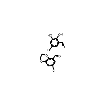 O=Cc1cc(Cl)cc(O)c1O.O=Cc1cc(Cl)cc2c1OCCO2